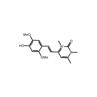 COc1cc(C=Cc2cc(C)n(C)c(=O)[n+]2C)c(OC)cc1O